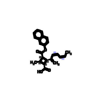 C=C(/C=C\C=C/C)[C@@H]1[C@H](C(=O)O)[C@@H](C)[C@H]1C(=O)Oc1ccc2ccccc2c1